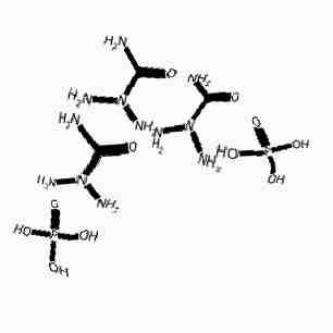 NC(=O)N(N)N.NC(=O)N(N)N.NC(=O)N(N)N.O=P(O)(O)O.O=P(O)(O)O